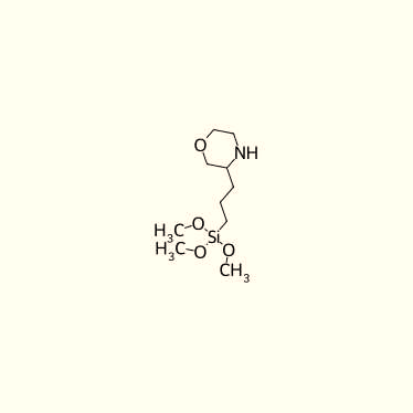 CO[Si](CCCC1COCCN1)(OC)OC